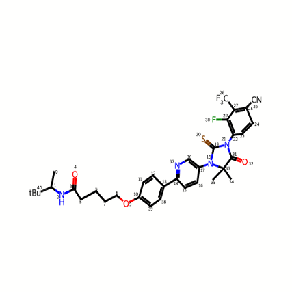 CC(NC(=O)CCCCOc1ccc(-c2ccc(N3C(=S)N(c4ccc(C#N)c(C(F)(F)F)c4F)C(=O)C3(C)C)cn2)cc1)C(C)(C)C